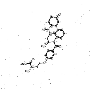 COC(=O)[C@@H](C)CCOc1ccc(C(=O)N2c3ccccc3[C@H](N(C(C)=O)c3ccc(Cl)cc3)CC2C)cc1